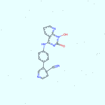 N#Cc1ccncc1-c1ccc(Nc2nc(=O)n(O)c3ncccc23)cc1